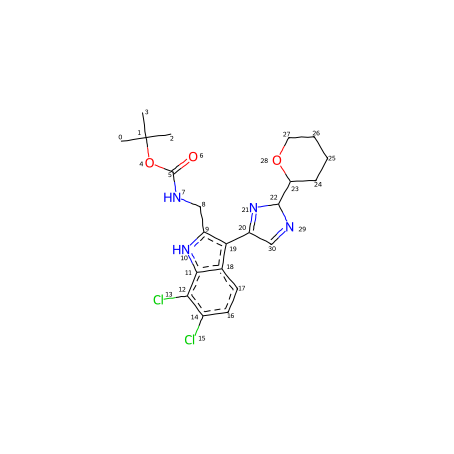 CC(C)(C)OC(=O)NCc1[nH]c2c(Cl)c(Cl)ccc2c1C1=NC(C2CCCCO2)N=C1